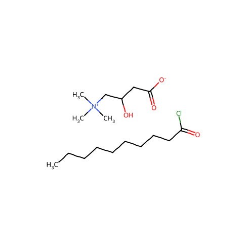 CCCCCCCCCC(=O)Cl.C[N+](C)(C)CC(O)CC(=O)[O-]